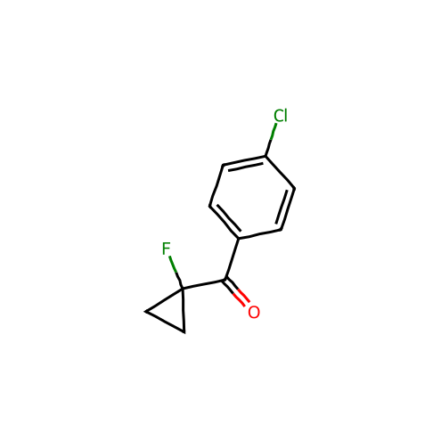 O=C(c1ccc(Cl)cc1)C1(F)CC1